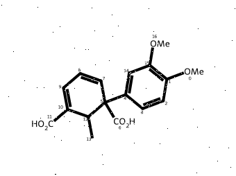 COc1ccc(C2(C(=O)O)C=CC=C(C(=O)O)C2C)cc1OC